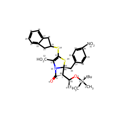 CC[C@H](O[Si](C)(C)C(C)(C)C)[C@@H]1C(=O)N2C(C(=O)O)=C(SC3Cc4ccccc4C3)S[C@]12Cc1ccc([N+](=O)[O-])cc1